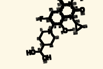 COc1c(N2CCC(C(O)O)CC2)c(F)cc2c(=O)n(N)c(=O)n(C3CC3)c12